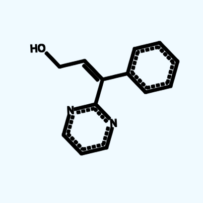 OC/C=C(/c1ccccc1)c1ncccn1